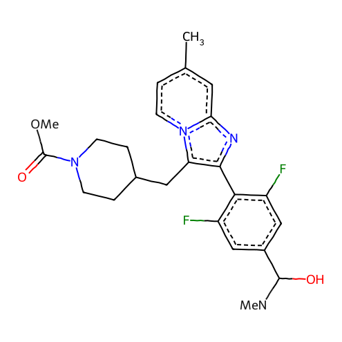 CNC(O)c1cc(F)c(-c2nc3cc(C)ccn3c2CC2CCN(C(=O)OC)CC2)c(F)c1